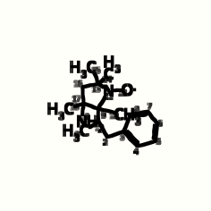 CC(Cc1ccccc1)C1(C)N([O])C(C)(C)CC1(C)N